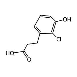 O=C(O)CCc1cccc(O)c1Cl